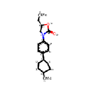 COC[C@@H]1CN(c2ccc(C3CCC(OC)CC3)cc2)C(=O)O1